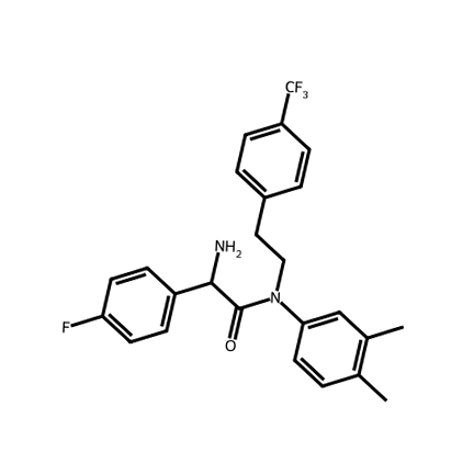 Cc1ccc(N(CCc2ccc(C(F)(F)F)cc2)C(=O)C(N)c2ccc(F)cc2)cc1C